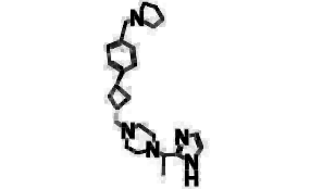 CC(c1ncc[nH]1)N1CCN(C[C@H]2C[C@H](c3ccc(CN4CCCC4)cc3)C2)CC1